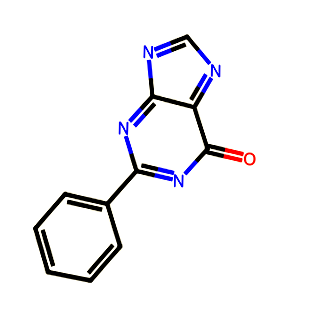 O=C1N=C(c2ccccc2)N=C2N=CN=C12